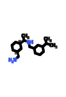 CC(C)C1CCCC(CNC(C)[C@@H]2CCC[C@H](CN)C2)C1